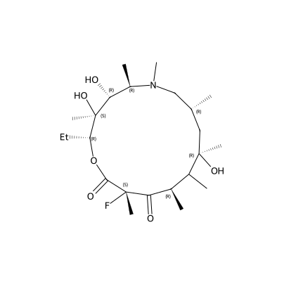 CC[C@H]1OC(=O)[C@@](C)(F)C(=O)[C@H](C)C(C)[C@](C)(O)C[C@@H](C)CN(C)[C@H](C)[C@@H](O)[C@]1(C)O